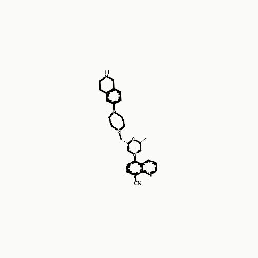 C[C@@H]1CN(c2ccc(C#N)c3ncccc23)C[C@H](CN2CCN(c3ccc4c(c3)CCNC4)CC2)O1